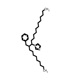 CCCCCCCCCCCCC(C(CCCCCCCCC)Cc1ccccc1)n1ccnc1